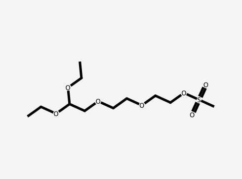 CCOC(COCCOCCOS(C)(=O)=O)OCC